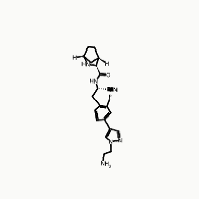 N#C[C@H](Cc1ccc(-c2cnn(CCN)c2)cc1F)NC(=O)[C@H]1N[C@@H]2CC[C@H]1C2